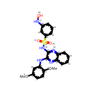 COc1ccc(OC)c(Nc2nc3ccccc3nc2NS(=O)(=O)c2cccc(NO)c2)c1